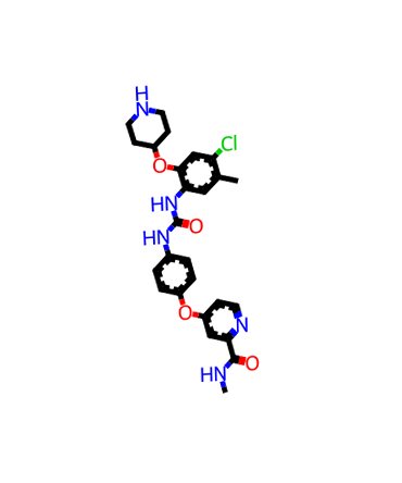 CNC(=O)c1cc(Oc2ccc(NC(=O)Nc3cc(C)c(Cl)cc3OC3CCNCC3)cc2)ccn1